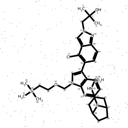 CC(C)(O)Cn1cc2c(Cl)c(-c3cn(COCC[Si](C)(C)C)c4nc(N5C6CCC5CC(NC(=O)O)C6)cnc34)ccc2n1